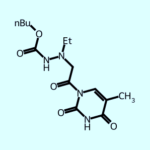 CCCCOC(=O)NN(CC)CC(=O)n1cc(C)c(=O)[nH]c1=O